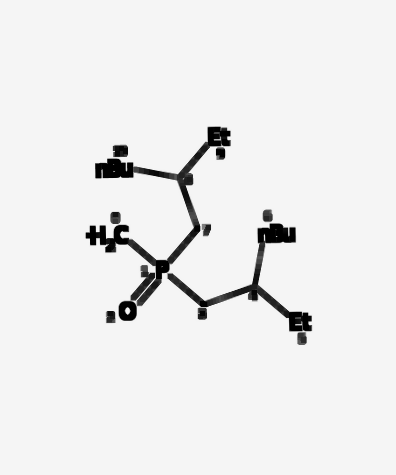 [CH2]P(=O)(CC(CC)CCCC)CC(CC)CCCC